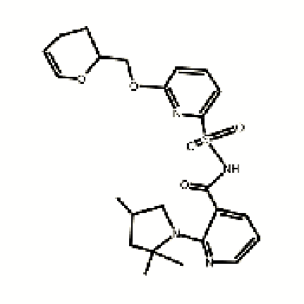 CC1CN(c2ncccc2C(=O)NS(=O)(=O)c2cccc(OCC3CCC=CO3)n2)C(C)(C)C1